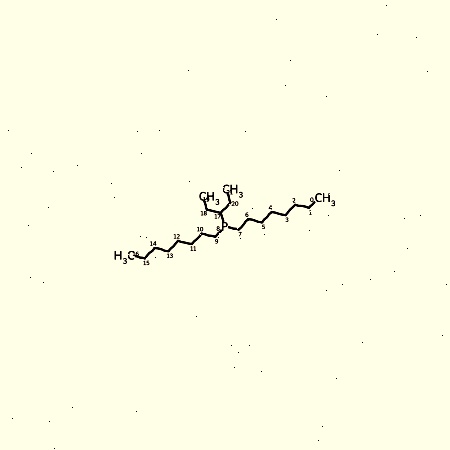 CCCCCCCCP(CCCCCCCC)C(CC)CC